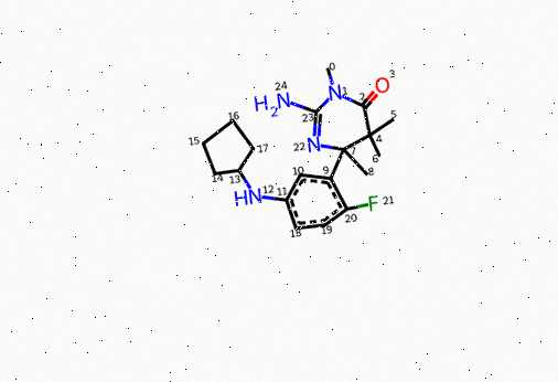 CN1C(=O)C(C)(C)C(C)(c2cc(NC3CCCC3)ccc2F)N=C1N